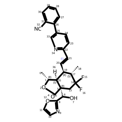 C[C@H]1OC(=O)[C@]2(C(O)c3ncco3)CC(F)(F)[C@@H](C)[C@H](/C=C/c3ccc(-c4ccccc4C#N)cn3)[C@H]12